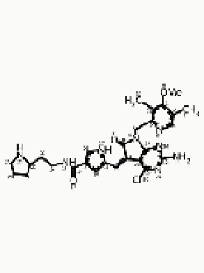 COc1c(C)cnc(CN2C(=O)C(=Cc3cc(C(=O)NCCC4CCCN4)c[nH]3)c3c(Cl)nc(N)nc32)c1C